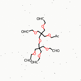 CC(=O)COCC(COCC=O)(COCC=O)COCC(COCC=O)(COCC=O)COCC=O